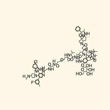 CC[C@H](C)[C@@H]([C@@H](CC(=O)N1CCC[C@H]1C[C@@H](C)C(=O)N[C@H](C)[C@@H](O)c1ccccc1)OC)N(C)C(=O)[C@@H](NC(=O)[C@H](C(C)C)N(C)C(=O)OCc1ccc(NC(=O)[C@H](C)NC(=O)[C@@H](NC(=O)CCOCCC(=O)NCC(=O)NCCNc2ncc(-c3cc(C)cc(F)c3)c(N3CCC(N)CC3)c2-c2nc3ccc(Cl)cc3[nH]2)C(C)C)c(O[C@@H]2O[C@H](CO)[C@@H](O)[C@H](O)[C@H]2O)c1)C(C)C